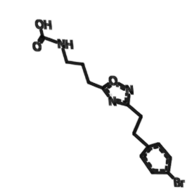 O=C(O)NCCCc1nc(CCc2ccc(Br)cc2)no1